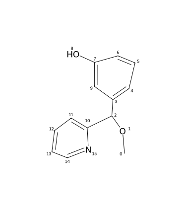 COC(c1cccc(O)c1)c1ccccn1